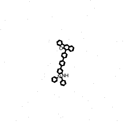 c1ccc(C2Nc3cc(-c4ccc(-c5ccc(-c6c7ccccc7cc7c6oc6ccccc67)cc5)cc4)ccc3N2c2ccccc2)cc1